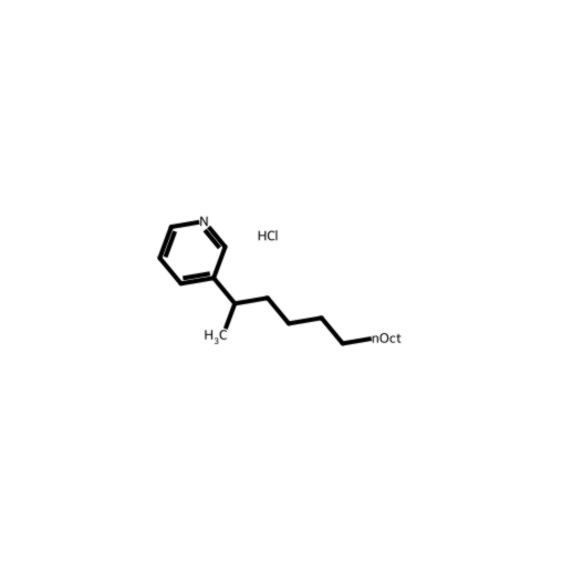 CCCCCCCCCCCCC(C)c1cccnc1.Cl